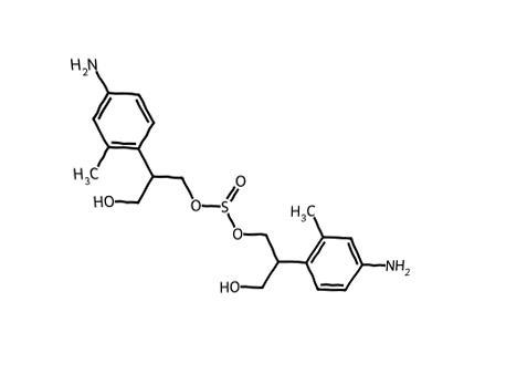 Cc1cc(N)ccc1C(CO)COS(=O)OCC(CO)c1ccc(N)cc1C